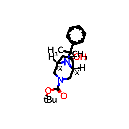 CC(C)(C)OC(=O)N1C[C@@H]2C[C@H](O)[C@H](C1)N2C(C)(C)c1ccccc1